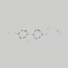 COc1cc(F)c(-c2ccc3c(c2)CC2CCNCCN32)c(OC)c1